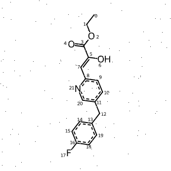 CCOC(=O)C(O)=Cc1ccc(Cc2ccc(F)cc2)cn1